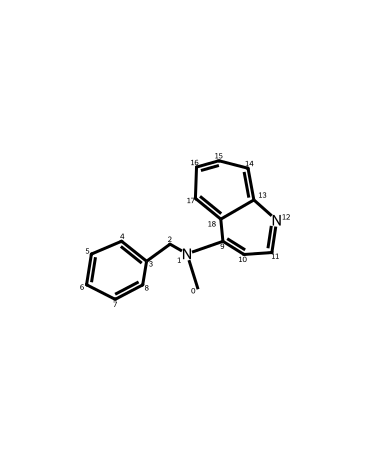 CN(Cc1ccccc1)c1ccnc2ccccc12